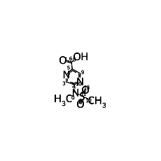 CN(c1cnc(C(=O)O)cn1)S(C)(=O)=O